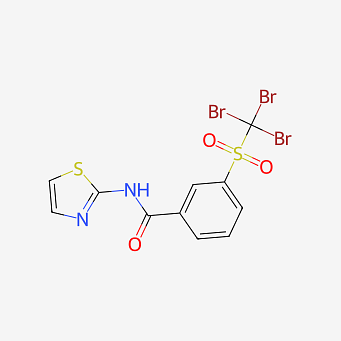 O=C(Nc1nccs1)c1cccc(S(=O)(=O)C(Br)(Br)Br)c1